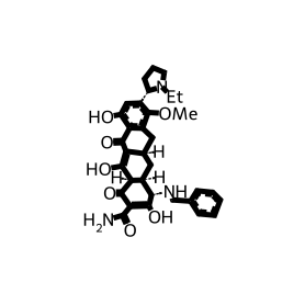 CCN1CCC[C@H]1c1cc(O)c2c(c1OC)C[C@H]1C[C@@H]3[C@@H](C(=O)C(C(N)=O)=C(O)[C@H]3NCc3ccccc3)C(O)=C1C2=O